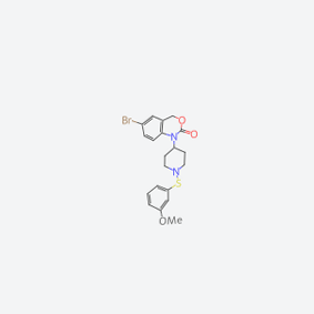 COc1cccc(SN2CCC(N3C(=O)OCc4cc(Br)ccc43)CC2)c1